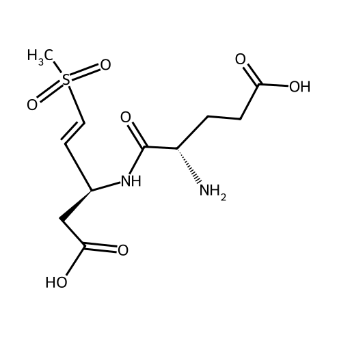 CS(=O)(=O)/C=C/[C@H](CC(=O)O)NC(=O)[C@@H](N)CCC(=O)O